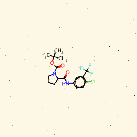 CC(C)(C)OC(=O)N1CCCC1C(=O)Nc1ccc(Cl)c(C(F)(F)F)c1